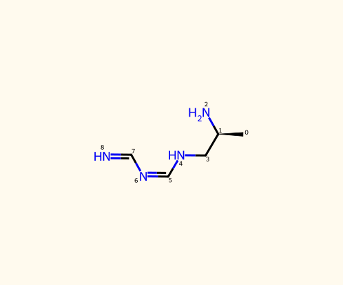 C[C@H](N)CN/C=N\C=N